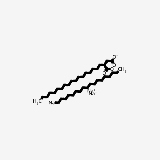 CCCCCCCCCCCCCCCCCCC(CC(=O)[O-])C(=O)[O-].CCCCCCCCCCCCCCCCC[CH2][Na].[Na+].[Na+]